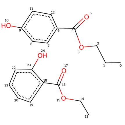 CCCOC(=O)c1ccc(O)cc1.CCOC(=O)c1ccccc1O